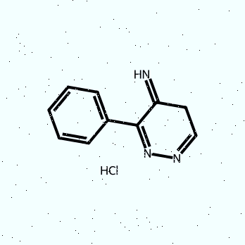 Cl.N=C1CC=NN=C1c1ccccc1